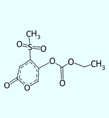 CCOC(=O)Oc1coc(=O)cc1S(C)(=O)=O